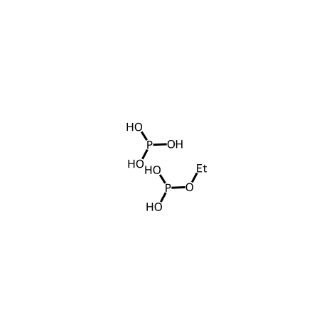 CCOP(O)O.OP(O)O